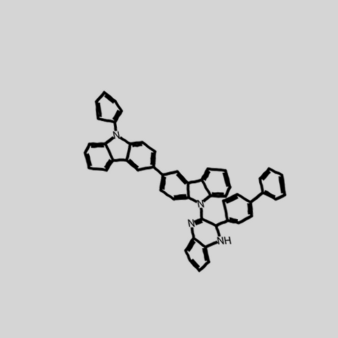 c1ccc(-c2ccc(C3Nc4ccccc4N=C3n3c4ccccc4c4cc(-c5ccc6c(c5)c5ccccc5n6-c5ccccc5)ccc43)cc2)cc1